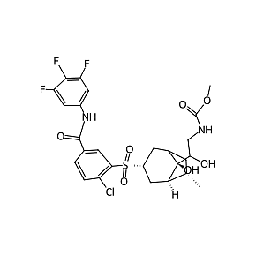 COC(=O)NCC(O)[C@@]1(O)C2C[C@@H](S(=O)(=O)c3cc(C(=O)Nc4cc(F)c(F)c(F)c4)ccc3Cl)C[C@@H]1[C@@H](C)C2